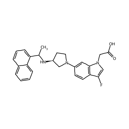 CC(N[C@H]1CCN(c2ccc3c(F)cn(CC(=O)O)c3c2)C1)c1cccc2ccccc12